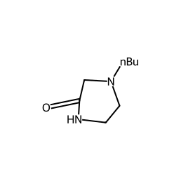 CCCCN1CCNC(=O)C1